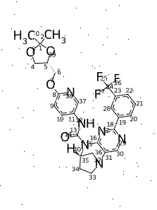 CC1(C)OC[C@@H](COc2ccc(NC(=O)N3c4nc(-c5cccc(C(F)(F)F)c5)ncc4N4CC[C@H]3C4)cn2)O1